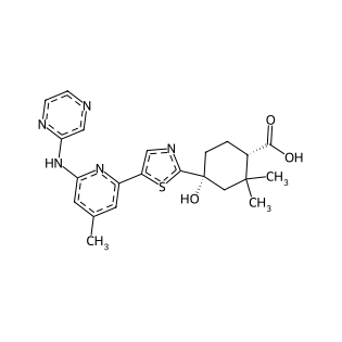 Cc1cc(Nc2cnccn2)nc(-c2cnc([C@@]3(O)CC[C@H](C(=O)O)C(C)(C)C3)s2)c1